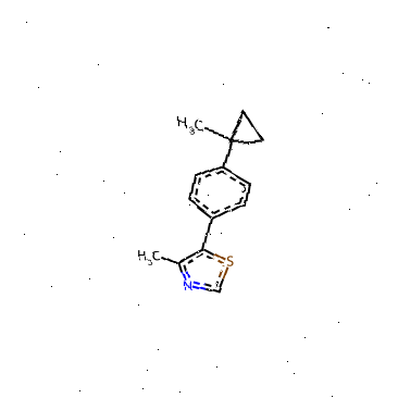 Cc1ncsc1-c1ccc(C2(C)CC2)cc1